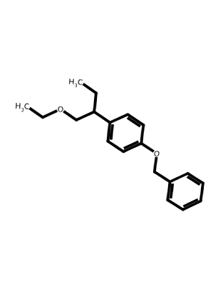 CCOCC(CC)c1ccc(OCc2ccccc2)cc1